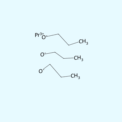 CCC[O-].CCC[O-].CCC[O-].[Pr+3]